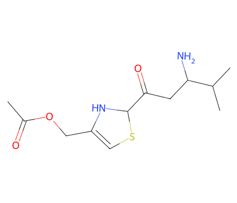 CC(=O)OCC1=CSC(C(=O)CC(N)C(C)C)N1